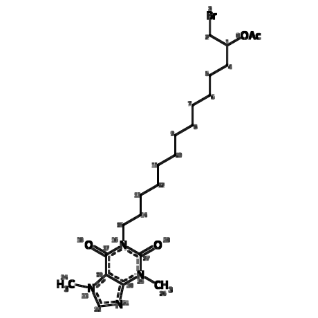 CC(=O)OC(CBr)CCCCCCCCCCCCn1c(=O)c2c(ncn2C)n(C)c1=O